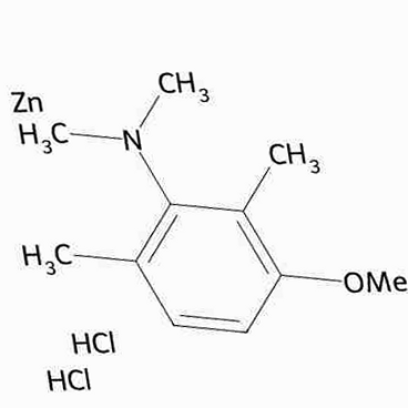 COc1ccc(C)c(N(C)C)c1C.Cl.Cl.[Zn]